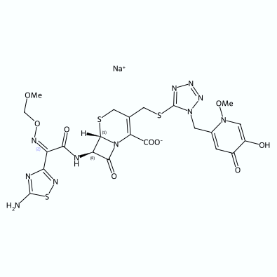 COCO/N=C(\C(=O)N[C@@H]1C(=O)N2C(C(=O)[O-])=C(CSc3nnnn3Cc3cc(=O)c(O)cn3OC)CS[C@@H]12)c1nsc(N)n1.[Na+]